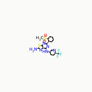 CS(=O)(=O)c1ccccc1-c1nc(Nc2ccc(C(F)(F)F)nc2)c2nc(N)sc2n1